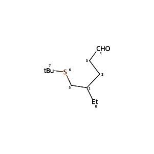 CCC(CCC=O)CSC(C)(C)C